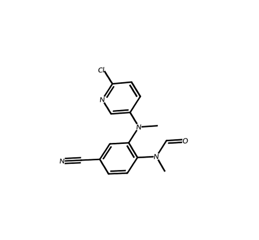 CN(C=O)c1ccc(C#N)cc1N(C)c1ccc(Cl)nc1